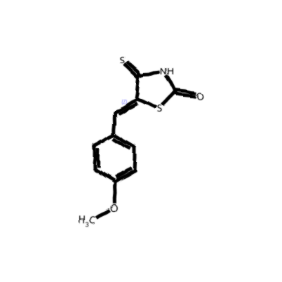 COc1ccc(/C=C2\SC(=O)NC2=S)cc1